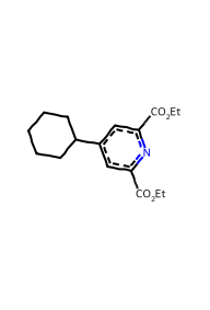 CCOC(=O)c1cc(C2CCCCC2)cc(C(=O)OCC)n1